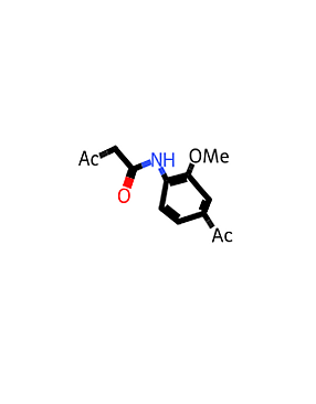 COc1cc(C(C)=O)ccc1NC(=O)CC(C)=O